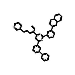 C=C/C(=C\C=C\c1cccnc1)c1cc(-c2cccc(-c3ccccc3)c2)nc(-c2cccc(C3=CC4C=CC=CC4C=C3)c2)n1